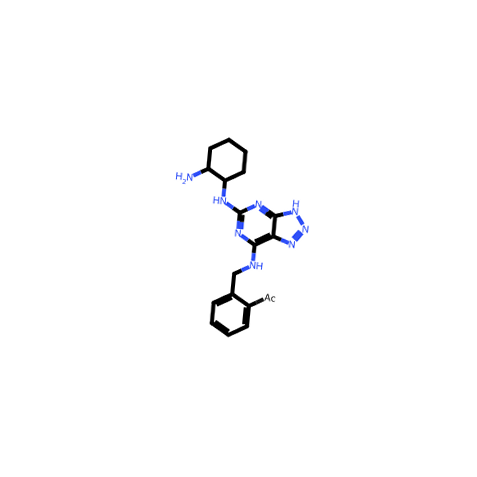 CC(=O)c1ccccc1CNc1nc(NC2CCCCC2N)nc2[nH]nnc12